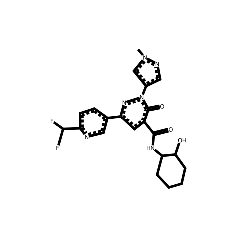 Cn1cc(-n2nc(-c3ccc(C(F)F)nc3)cc(C(=O)NC3CCCCC3O)c2=O)cn1